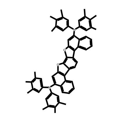 Cc1cc(N(c2cc(C)c(C)c(C)c2)c2cc3oc4c(ccc5c4oc4cc(N(c6cc(C)c(C)c(C)c6)c6cc(C)c(C)c(C)c6)c6ccccc6c45)c3c3ccccc23)cc(C)c1C